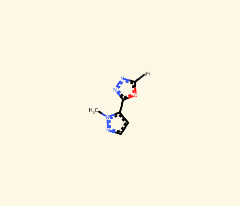 CC(C)c1nnc(-c2ccnn2C)o1